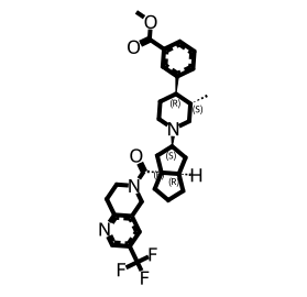 COC(=O)c1cccc([C@@H]2CCN([C@H]3C[C@H]4CCC[C@@]4(C(=O)N4CCc5ncc(C(F)(F)F)cc5C4)C3)C[C@H]2C)c1